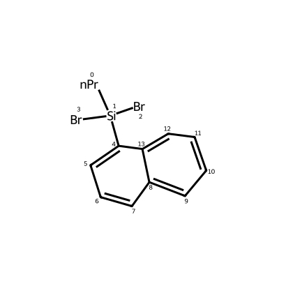 CCC[Si](Br)(Br)c1cccc2ccccc12